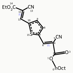 CCCCCCCCOC(=O)/C(C#N)=C/c1ccc(/C=C(\C#N)C(=O)OCC)s1